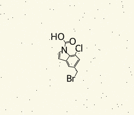 O=C(O)n1ccc2cc(CBr)cc(Cl)c21